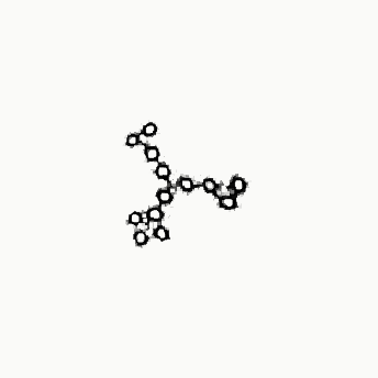 c1ccc([Si](c2ccccc2)(c2ccccc2)c2ccc(-c3ccc(N(c4ccc(-c5ccc(-n6c7ccccc7c7ccccc76)cc5)cc4)c4ccc(-c5ccc6c(c5)c5cccc7c8ccccc8n6c75)cc4)cc3)cc2)cc1